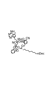 CCCCCCCCCCCCCCCCCCC[C@H](COP(=O)(OC[C@](C#N)(CCc1ccc2c(N)ncnn12)OC)Oc1ccccc1Cl)OCc1ccc(C#N)c(OC)c1